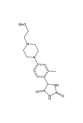 COCCN1CCN(c2ccc(C3NC(=O)NC3=O)c(C)c2)CC1